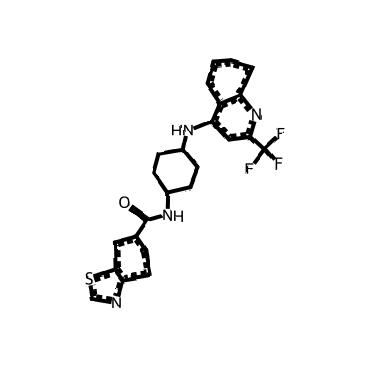 O=C(NC1CCC(Nc2cc(C(F)(F)F)nc3ccccc23)CC1)c1ccc2ncsc2c1